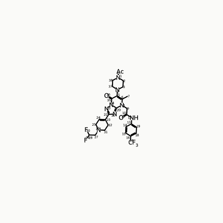 CC(=O)N1CCN(c2c(C)n(CC(=O)Nc3ccc(C(F)(F)F)cc3)c3nc(C4=CCN(CC(F)F)CC4)nn3c2=O)CC1